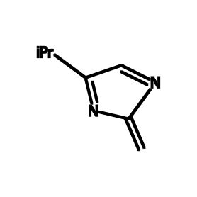 C=C1N=CC(C(C)C)=N1